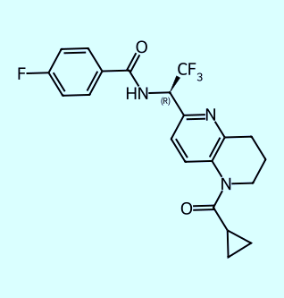 O=C(N[C@H](c1ccc2c(n1)CCCN2C(=O)C1CC1)C(F)(F)F)c1ccc(F)cc1